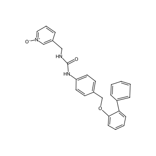 O=C(NCc1ccc[n+]([O-])c1)Nc1ccc(COc2ccccc2-c2ccccc2)cc1